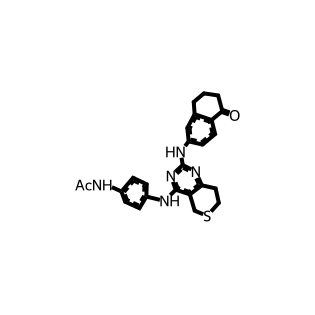 CC(=O)Nc1ccc(Nc2nc(Nc3ccc4c(c3)CCCC4=O)nc3c2CSCC3)cc1